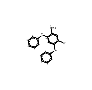 CNc1cc(Br)c(Sc2ccccc2)cc1Sc1ccccc1